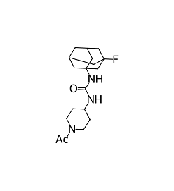 CC(=O)N1CCC(NC(=O)NC23CC4CC(CC(F)(C4)C2)C3)CC1